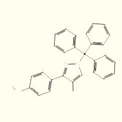 FC(F)(F)Oc1ccc(-c2nn(C(c3ccccc3)(c3ccccc3)c3ccccc3)cc2Br)cc1